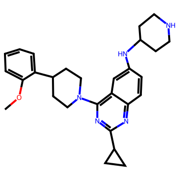 COc1ccccc1C1CCN(c2nc(C3CC3)nc3ccc(NC4CCNCC4)cc23)CC1